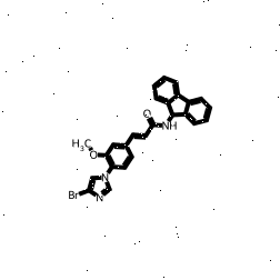 COc1cc(C=CC(=O)NC2c3ccccc3-c3ccccc32)ccc1-n1cnc(Br)c1